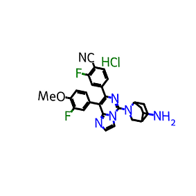 COc1ccc(-c2c(-c3ccc(C#N)c(F)c3)nc(N3CC4CCC3CC4N)n3ccnc23)cc1F.Cl